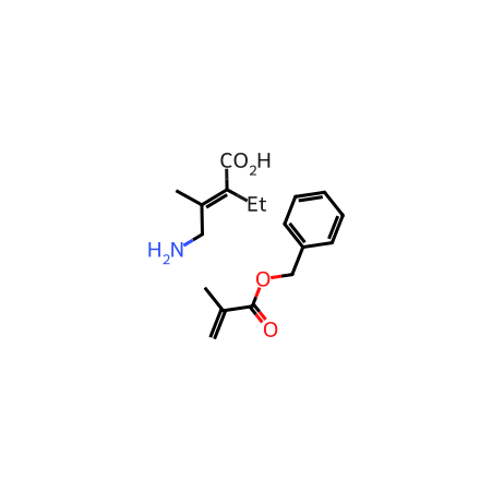 C=C(C)C(=O)OCc1ccccc1.CCC(C(=O)O)=C(C)CN